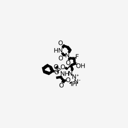 CC(C)OC(=O)C(C)NP(=O)(OC[C@@]1(CN=[N+]=[N-])OC(n2ccc(=O)[nH]c2=O)[C@H](F)[C@@H]1O)Oc1ccccc1